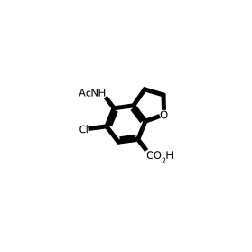 CC(=O)Nc1c(Cl)cc(C(=O)O)c2c1CCO2